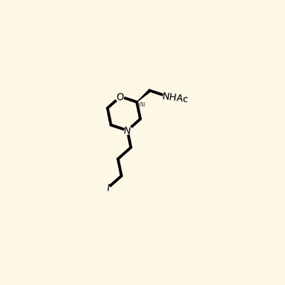 CC(=O)NC[C@H]1CN(CCCI)CCO1